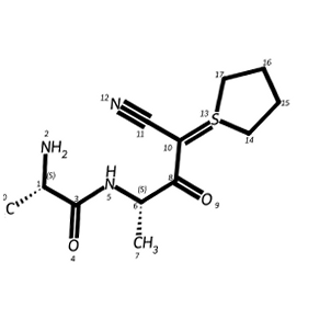 C[C@H](N)C(=O)N[C@@H](C)C(=O)C(C#N)=S1CCCC1